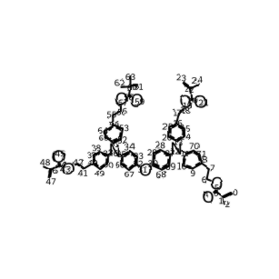 C=C(C)C(=O)OCCc1ccc(N(c2ccc(CCOC(=O)C(=C)C)cc2)c2ccc(Oc3ccc(N(c4ccc(CCOC(=O)C(=C)C)cc4)c4ccc(CCOC(=O)C(C)(C)C)cc4)cc3)cc2)cc1